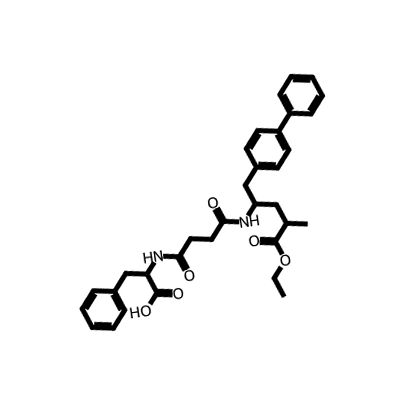 CCOC(=O)C(C)CC(Cc1ccc(-c2ccccc2)cc1)NC(=O)CCC(=O)NC(Cc1ccccc1)C(=O)O